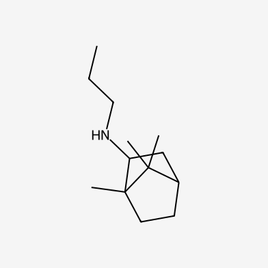 CCCNC1CC2CCC1(C)C2(C)C